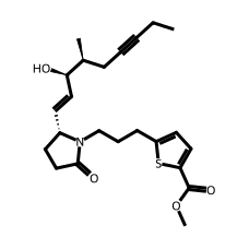 CCC#CC[C@H](C)[C@H](O)/C=C/[C@H]1CCC(=O)N1CCCc1ccc(C(=O)OC)s1